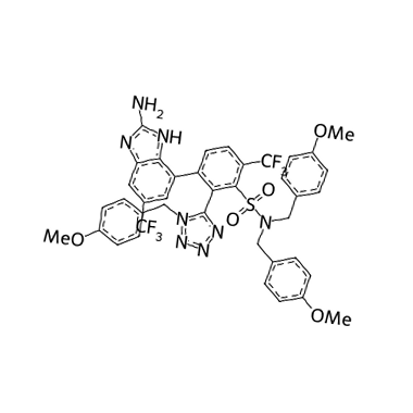 COc1ccc(CN(Cc2ccc(OC)cc2)S(=O)(=O)c2c(C(F)(F)F)ccc(-c3cc(C(F)(F)F)cc4nc(N)[nH]c34)c2-c2nnnn2Cc2ccc(OC)cc2)cc1